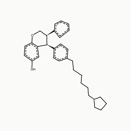 Oc1ccc2c(c1)[C@H](c1ccc(CCCCCCN3CCCC3)cc1)[C@H](c1ccccc1)CO2